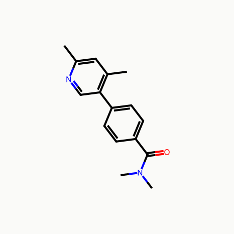 Cc1cc(C)c(-c2ccc(C(=O)N(C)C)cc2)cn1